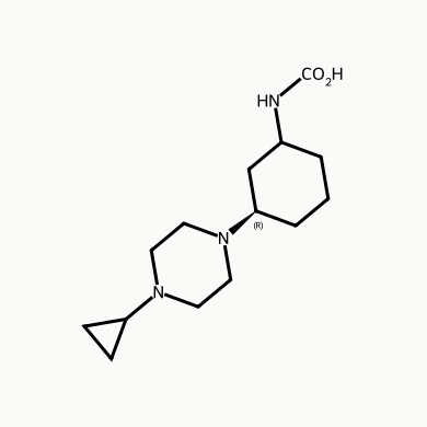 O=C(O)NC1CCC[C@@H](N2CCN(C3CC3)CC2)C1